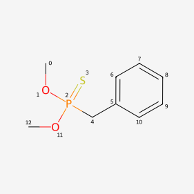 COP(=S)(Cc1ccccc1)OC